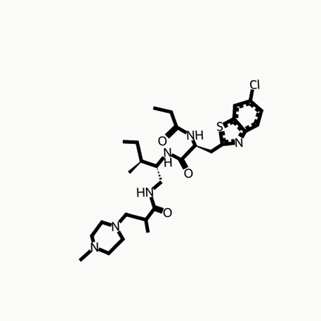 CCC(=O)N[C@@H](Cc1nc2ccc(Cl)cc2s1)C(=O)N[C@H](CNC(=O)C(C)CN1CCN(C)CC1)[C@@H](C)CC